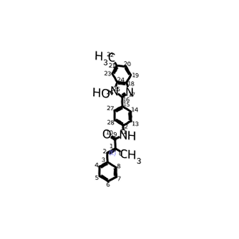 C/C(=C\c1ccccc1)C(=O)Nc1ccc(-c2nc3ccc(C)cc3n2O)cc1